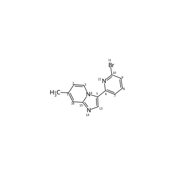 Cc1ccn2c(-c3cccc(Br)n3)cnc2c1